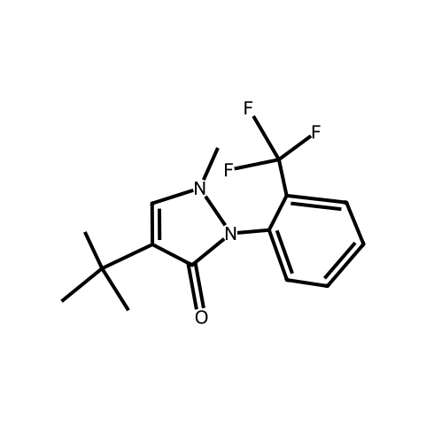 Cn1cc(C(C)(C)C)c(=O)n1-c1ccccc1C(F)(F)F